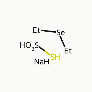 CC[Se]CC.O=S(=O)(O)S.[NaH]